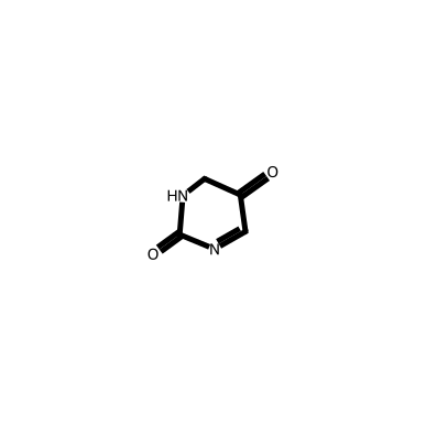 O=C1C=NC(=O)NC1